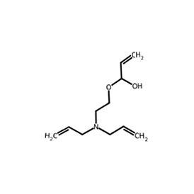 C=CCN(CC=C)CCOC(O)C=C